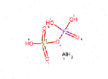 O=P(O)(O)OS(=O)(=O)O.[AlH3]